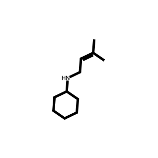 CC(C)=CCNC1CCCCC1